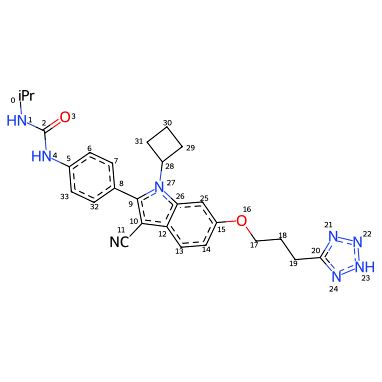 CC(C)NC(=O)Nc1ccc(-c2c(C#N)c3ccc(OCCCc4nn[nH]n4)cc3n2C2CCC2)cc1